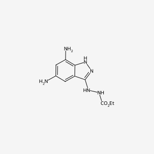 CCOC(=O)NNc1n[nH]c2c(N)cc(N)cc12